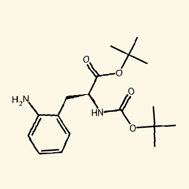 CC(C)(C)OC(=O)N[C@@H](Cc1ccccc1N)C(=O)OC(C)(C)C